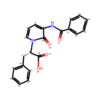 O=C(Nc1cccn([C@@H](Cc2ccccc2)C(=O)O)c1=O)c1ccccc1